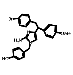 COc1ccc(C(Cc2ccc(Br)cc2)c2cn(Cc3ccc(O)cc3)c(N)n2)cc1